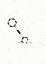 CC(C)(C)c1nn(C(=O)O)cc1C#Cc1ccccc1